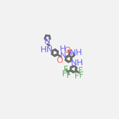 O=C(Nc1ccc(Nc2cc(C(F)(F)F)cc(C(F)(F)F)c2)c2c1C(=O)NC2)c1ccc(NCCN2CCCC2)cc1